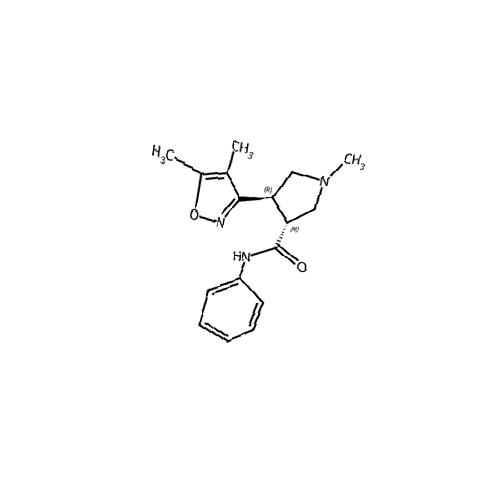 Cc1onc([C@H]2CN(C)C[C@@H]2C(=O)Nc2ccccc2)c1C